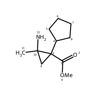 COC(=O)C1(C2CCCC2)CC1(C)N